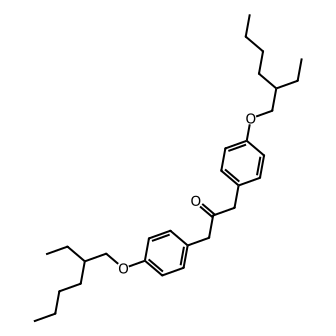 CCCCC(CC)COc1ccc(CC(=O)Cc2ccc(OCC(CC)CCCC)cc2)cc1